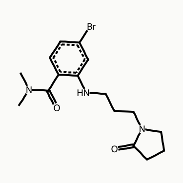 CN(C)C(=O)c1ccc(Br)cc1NCCCN1CCCC1=O